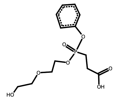 O=C(O)CCP(=O)(OCCOCCO)Oc1ccccc1